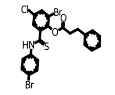 O=C(CCc1ccccc1)Oc1c(Br)cc(Cl)cc1C(=S)Nc1ccc(Br)cc1